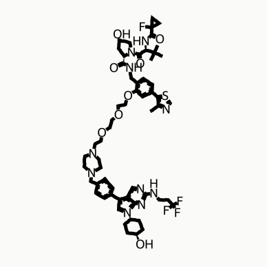 Cc1ncsc1-c1ccc(CNC(=O)[C@@H]2C[C@@H](O)CN2C(=O)[C@@H](NC(=O)C2(F)CC2)C(C)(C)C)c(OCCOCCOCCN2CCN(Cc3ccc(-c4cn([C@H]5CC[C@H](O)CC5)c5nc(NCCC(F)(F)F)ncc45)cc3)CC2)c1